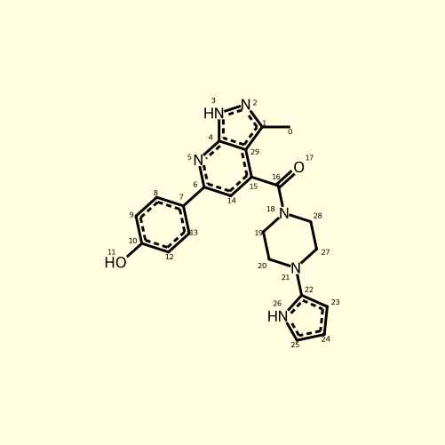 Cc1n[nH]c2nc(-c3ccc(O)cc3)cc(C(=O)N3CCN(c4ccc[nH]4)CC3)c12